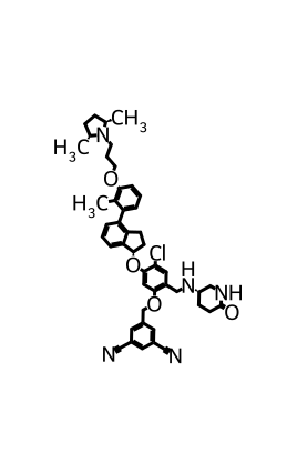 Cc1c(OCCCN2[C@H](C)CC[C@H]2C)cccc1-c1cccc2c1CC[C@@H]2Oc1cc(OCc2cc(C#N)cc(C#N)c2)c(CN[C@H]2CCC(=O)NC2)cc1Cl